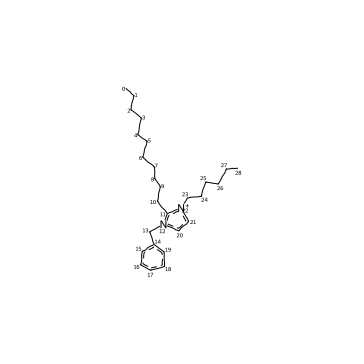 CCCCCCCCCCCc1n(Cc2ccccc2)cc[n+]1CCCCCC